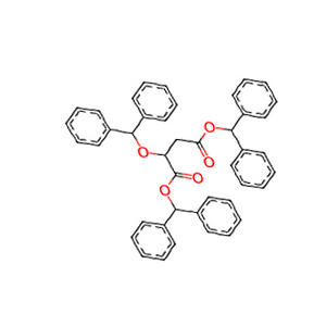 O=C(CC(OC(c1ccccc1)c1ccccc1)C(=O)OC(c1ccccc1)c1ccccc1)OC(c1ccccc1)c1ccccc1